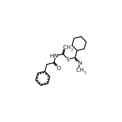 C=C(NC(=O)Cc1ccccc1)S/C(=N\C)C1CCCCC1